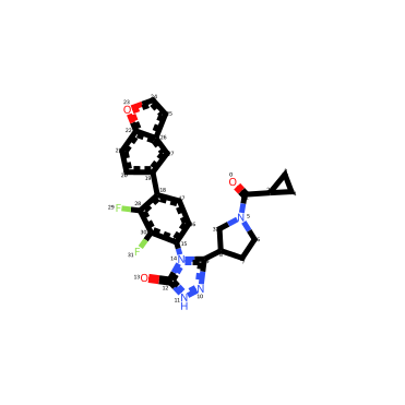 O=C(C1CC1)N1CCC(c2n[nH]c(=O)n2-c2ccc(-c3ccc4occc4c3)c(F)c2F)C1